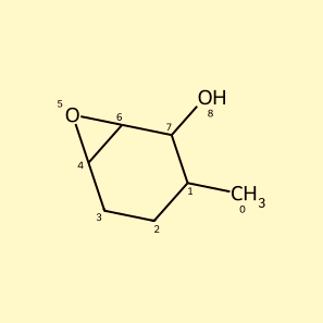 CC1CCC2OC2C1O